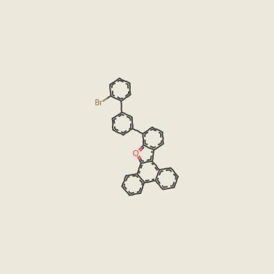 Brc1ccccc1-c1cccc(-c2cccc3c2oc2c4ccccc4c4ccccc4c32)c1